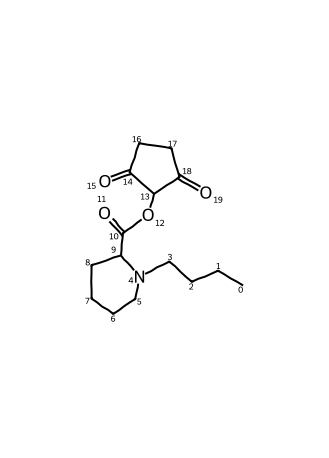 CCCCN1CCCCC1C(=O)OC1C(=O)CCC1=O